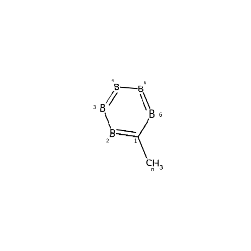 Cc1bbbbb1